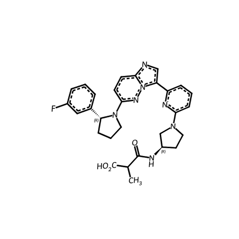 CC(C(=O)O)C(=O)N[C@@H]1CCN(c2cccc(-c3cnc4ccc(N5CCC[C@@H]5c5cccc(F)c5)nn34)n2)C1